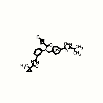 CC(C)c1noc(C23CCC(CN(C(=O)C45CC(F)(C4)C5)c4cccc(-c5noc(C6(C)CC6)n5)c4)(CC2)CC3)n1